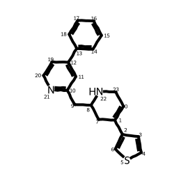 C1=C(c2ccsc2)CC(Cc2cc(-c3ccccc3)ccn2)NC1